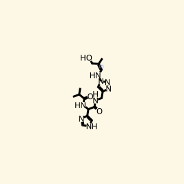 C/C(=C/Nn1cc(CNC(=O)C(NC(=O)C(C)C)c2c[nH]cn2)nn1)CO